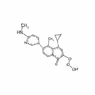 CNc1ccc(-c2ccn3c(=O)c(OOO)cc(C4CC4)c3c2C)cn1